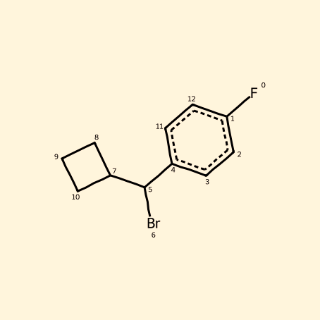 Fc1ccc(C(Br)C2CCC2)cc1